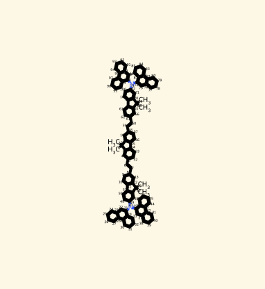 CC1(C)c2cc(/C=C/c3ccc4c(c3)C(C)(C)c3cc(N(c5cc6ccccc6c6ccccc56)c5cc6ccccc6c6ccccc56)ccc3-4)ccc2-c2ccc(/C=C/c3ccc4c(c3)C(C)(C)c3cc(N(c5cc6ccccc6c6ccccc56)c5cc6ccccc6c6ccccc56)ccc3-4)cc21